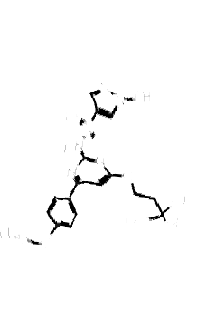 CCCCOc1ccc(-c2cc(OCCC(C)(C)O)nc(NS(=O)(=O)c3cnn(C)c3)n2)cc1